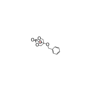 O=P12OCC(OCc3ccccc3)(CO1)CO2